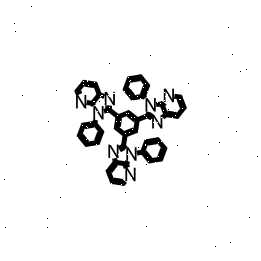 C1=CC2N=C(c3cc(-c4nc5cccnc5n4-c4ccccc4)cc(-c4nc5cccnc5n4-c4ccccc4)c3)N(c3ccccc3)C2N=C1